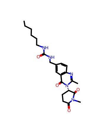 CCCCCCNC(=O)NCc1ccc2nc(C)n([C@H]3CCC(=O)N(C)C3=O)c(=O)c2c1